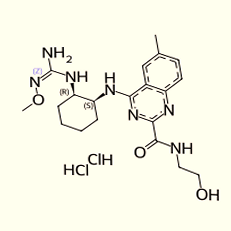 CO/N=C(/N)N[C@@H]1CCCC[C@@H]1Nc1nc(C(=O)NCCO)nc2ccc(C)cc12.Cl.Cl